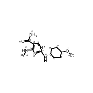 CCO[C@H]1CC[C@H](Nc2ncc(C(N)=O)c(NC(C)C)n2)CC1